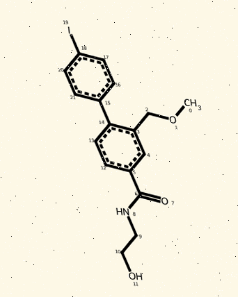 COCc1cc(C(=O)NCCO)ccc1-c1ccc(I)cc1